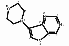 c1ncc2scc(N3CCOCC3)c2n1